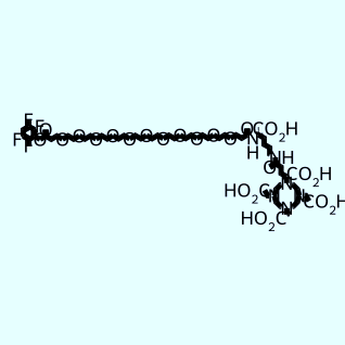 O=C(O)CN1CCN(CC(=O)O)CCN(C(CCC(=O)NCCCC[C@H](NC(=O)CCOCCOCCOCCOCCOCCOCCOCCOCCOCCOCCOCCC(=O)Oc2c(F)c(F)cc(F)c2F)C(=O)O)C(=O)O)CCN(CC(=O)O)CC1